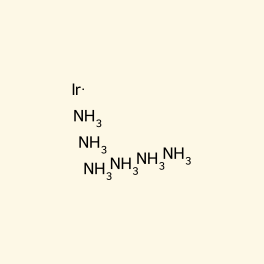 N.N.N.N.N.N.[Ir]